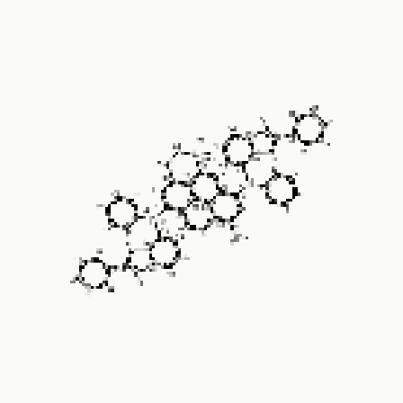 CC(C)c1cc(N(c2ccccc2)c2cccc3oc(-c4ccccc4)cc23)c2cc3c4c(cc(N(c5ccccc5)c5cccc6oc(-c7ccccc7)cc56)c5ccc1c2c54)CCC3(C)C